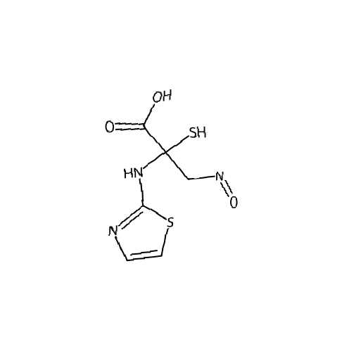 O=NCC(S)(Nc1nccs1)C(=O)O